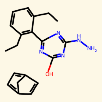 C1=CC2=CC=C1C2.CCc1cccc(CC)c1-c1nc(O)nc(NN)n1